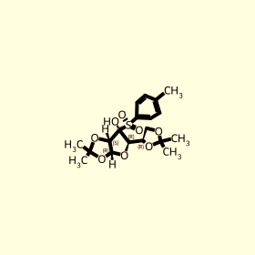 Cc1ccc(S(=O)(=O)[C@@]2(O)[C@@H]([C@H]3COC(C)(C)O3)O[C@@H]3OC(C)(C)O[C@@H]32)cc1